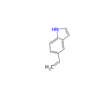 C=Cc1ccc2[nH]ccc2c1